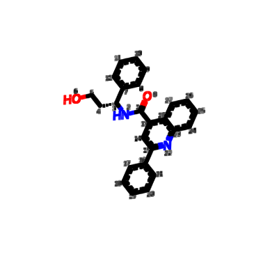 O=C(N[C@H](CCO)c1ccccc1)c1cc(-c2ccccc2)nc2ccccc12